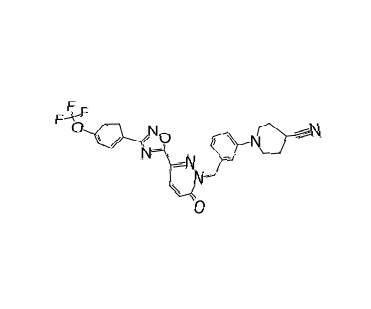 N#CC1CCN(c2cccc(Cn3nc(-c4nc(-c5ccc(OC(F)(F)F)cc5)no4)ccc3=O)c2)CC1